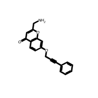 NCc1cc(=O)c2ccc(OCC#Cc3ccccc3)cc2o1